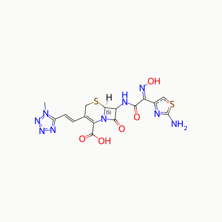 Cn1nnnc1C=CC1=C(C(=O)O)N2C(=O)C(NC(=O)C(=NO)c3csc(N)n3)[C@@H]2SC1